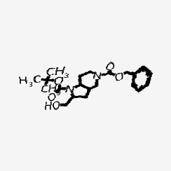 CC(C)(C)OC(=O)N1C(CO)CC2CN(C(=O)OCc3ccccc3)CCC21